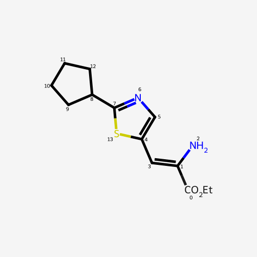 CCOC(=O)/C(N)=C/c1cnc(C2CCCC2)s1